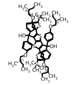 CC[C@@H](C)COc1ccc(C(O)(c2ccc(OC[C@@H](C)CC)cc2)c2c(-c3ccc([Si](C)(C)C)s3)sc3c(C(O)(c4ccc(OC[C@H](C)CC)cc4)c4ccc(OC[C@@H](C)CC)cc4)c(-c4ccc([Si](C)(C)C)s4)sc23)cc1